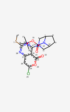 CSc1nc(N2CC3CCC(C2)N3C(=O)OC(C)(C)C)c2c(=O)oc(Cl)cc2n1